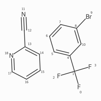 FC(F)(F)c1cccc(Br)c1.N#Cc1ccccn1